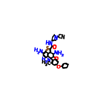 Cc1cc(Oc2ccccc2)ccc1C1(N)C(=O)C(N)c2c(C(=O)NC3CCN(C#N)C3)sc3c(N)ccc1c23